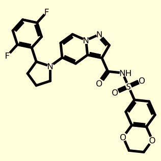 O=C(NS(=O)(=O)c1ccc2c(c1)OCCO2)c1cnn2ccc(N3CCCC3c3cc(F)ccc3F)cc12